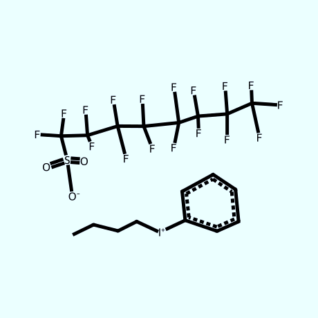 CCCC[I+]c1ccccc1.O=S(=O)([O-])C(F)(F)C(F)(F)C(F)(F)C(F)(F)C(F)(F)C(F)(F)C(F)(F)C(F)(F)F